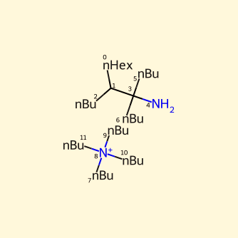 CCCCCCC(CCCC)C(N)(CCCC)CCCC.CCCC[N+](CCCC)(CCCC)CCCC